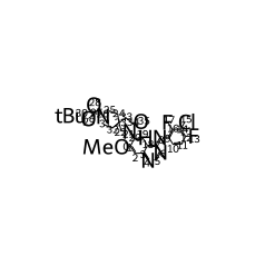 COc1cc2ncnc(Nc3ccc(F)c(Cl)c3F)c2cc1N1CC2(CCN(C(=O)OC(C)(C)C)CC2)CC1=O